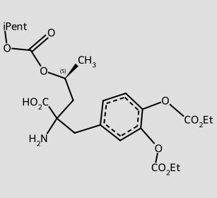 CCCC(C)OC(=O)O[C@@H](C)CC(N)(Cc1ccc(OC(=O)OCC)c(OC(=O)OCC)c1)C(=O)O